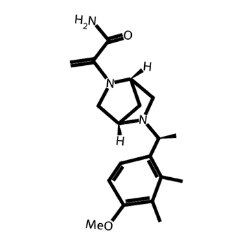 C=C(C(N)=O)N1C[C@@H]2C[C@H]1CN2[C@@H](C)c1ccc(OC)c(C)c1C